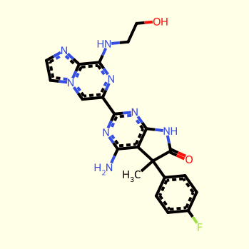 CC1(c2ccc(F)cc2)C(=O)Nc2nc(-c3cn4ccnc4c(NCCO)n3)nc(N)c21